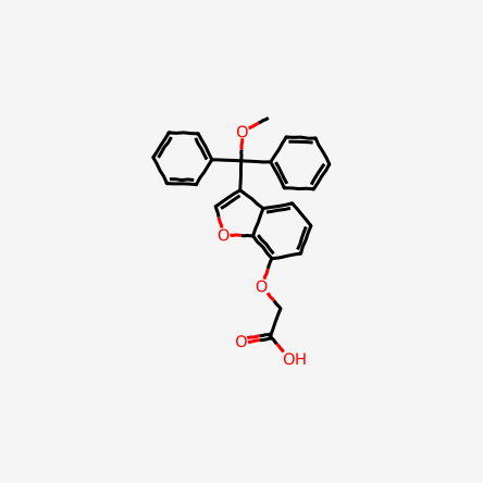 COC(c1ccccc1)(c1ccccc1)c1coc2c(OCC(=O)O)cccc12